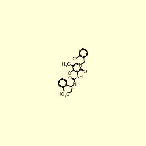 Cc1cn(Cc2ccccc2Cl)c(=O)c(NC(=O)N[C@@H](CC(=O)O)c2ccccc2F)c1O